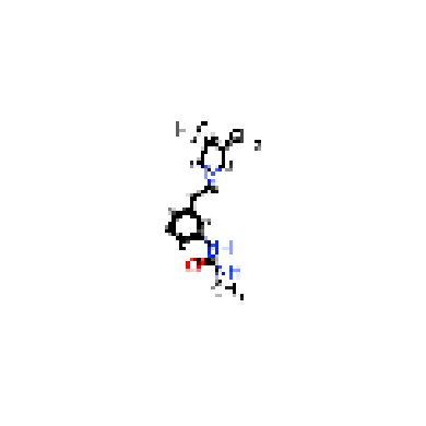 CNC(=O)Nc1cccc(CCN2CC(C)C(C)C2)c1